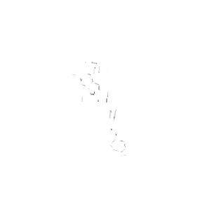 O=C(Nc1cc(F)cc2c(=O)[nH]c(CCCN3CCN(c4ccc(F)cc4)CC3)cc12)C1CC1